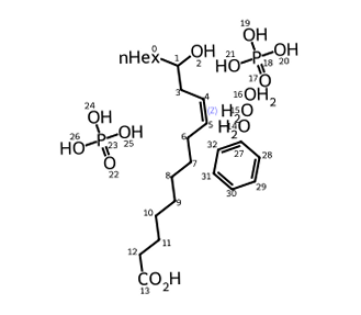 CCCCCCC(O)C/C=C\CCCCCCCC(=O)O.O.O.O.O=P(O)(O)O.O=P(O)(O)O.c1ccccc1